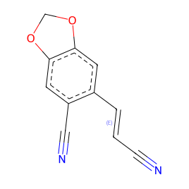 N#C/C=C/c1cc2c(cc1C#N)OCO2